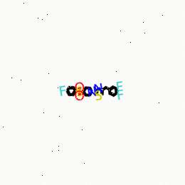 O=S(=O)(c1ccc(F)cc1)C1CCN(c2nc(Cc3ccc(F)c(F)c3)cs2)CC1